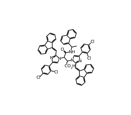 CC(NC(=O)C(C(C(=O)O)n1cc(-c2ccc(Cl)cc2Cl)nc1C=C1c2ccccc2-c2ccccc21)n1cc(-c2ccc(Cl)cc2Cl)nc1C=C1c2ccccc2-c2ccccc21)c1cccc2ccccc12